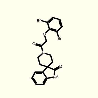 O=C(COc1c(Br)cccc1Br)N1CCC2(CC1)C(=O)Nc1ccccc12